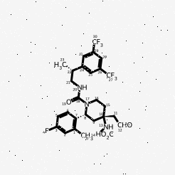 Cc1cc(F)ccc1[C@H]1C[C@@](CC=O)(NC(=O)O)CCN1C(=O)NC[C@H](C)c1cc(C(F)(F)F)cc(C(F)(F)F)c1